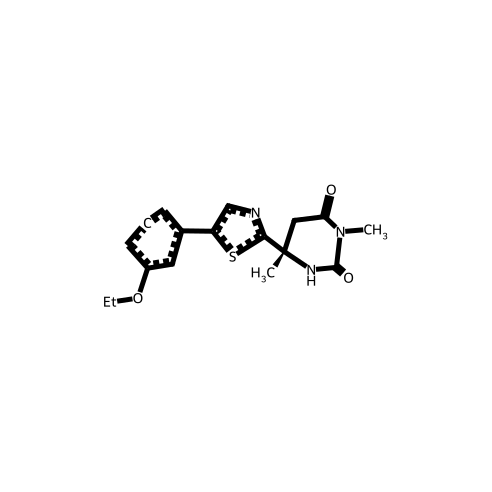 CCOc1cccc(-c2cnc([C@]3(C)CC(=O)N(C)C(=O)N3)s2)c1